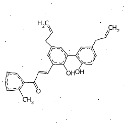 C=CCc1ccc(O)c(-c2cc(CC=C)cc(C=CC(=O)c3ccccc3C)c2O)c1